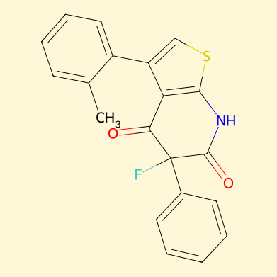 Cc1ccccc1-c1csc2c1C(=O)C(F)(c1ccccc1)C(=O)N2